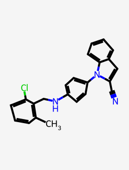 Cc1cccc(Cl)c1CNc1ccc(-n2c(C#N)cc3ccccc32)cc1